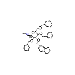 C/C=C/[C@H]1OC(COCc2ccccc2)[C@@H](OCc2ccccc2)C(OCc2ccc3ccccc3c2)C1OCc1ccccc1